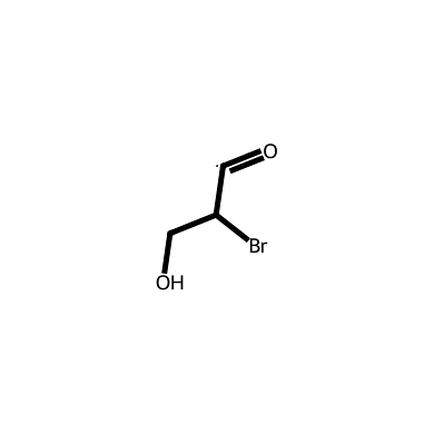 O=[C]C(Br)CO